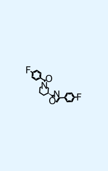 O=C(c1ccc(F)cc1)N1CCC[C@H](c2nc(-c3ccc(F)cc3)co2)C1